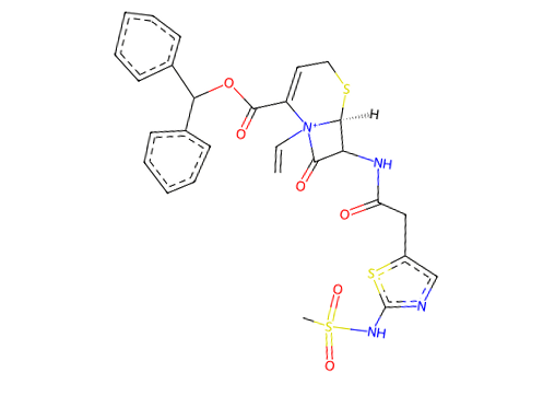 C=C[N+]12C(=O)C(NC(=O)Cc3cnc(NS(C)(=O)=O)s3)[C@@H]1SCC=C2C(=O)OC(c1ccccc1)c1ccccc1